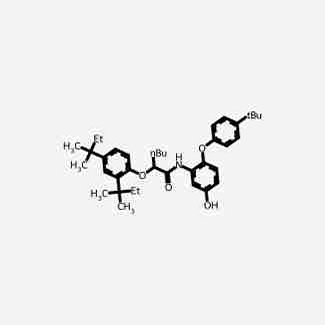 CCCCC(Oc1ccc(C(C)(C)CC)cc1C(C)(C)CC)C(=O)Nc1cc(O)ccc1Oc1ccc(C(C)(C)C)cc1